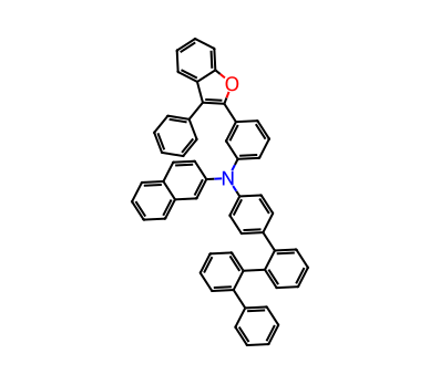 c1ccc(-c2ccccc2-c2ccccc2-c2ccc(N(c3cccc(-c4oc5ccccc5c4-c4ccccc4)c3)c3ccc4ccccc4c3)cc2)cc1